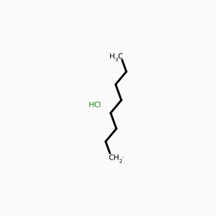 Cl.[CH2]CCCCCCC